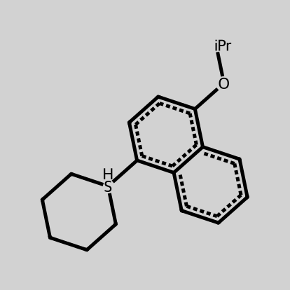 CC(C)Oc1ccc([SH]2CCCCC2)c2ccccc12